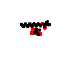 C=C(C)C(=O)OCCCCCCCCCC.O=P(O)(O)O